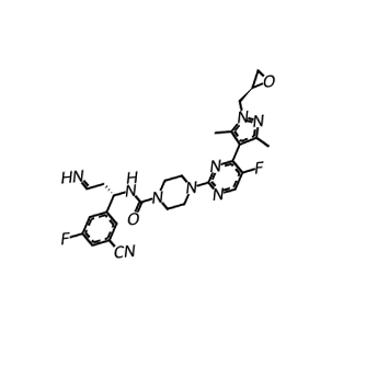 Cc1nn(C[C@H]2CO2)c(C)c1-c1nc(N2CCN(C(=O)N[C@@H](CC=N)c3cc(F)cc(C#N)c3)CC2)ncc1F